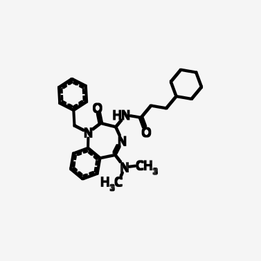 CN(C)C1=NC(NC(=O)CCC2CCCCC2)C(=O)N(Cc2ccccc2)c2ccccc21